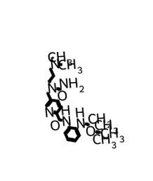 C=C(Nc1ccccc1NC(=O)c1ccc(CN(CCCN(C)C)C(N)=O)cn1)OC(C)(C)C